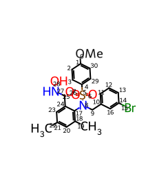 COc1ccc(S(=O)(=O)N(Cc2cccc(Br)c2)c2c(C)cc(C)cc2C(=O)NO)cc1